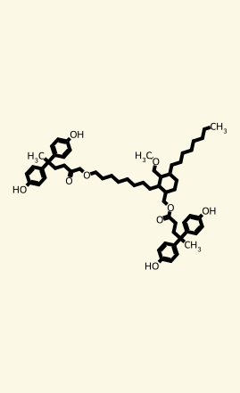 CCCCCCCCC1CCC(COC(=O)CCC(C)(c2ccc(O)cc2)c2ccc(O)cc2)C(CCCCCCCCOCC(=O)CCC(C)(c2ccc(O)cc2)c2ccc(O)cc2)C1COC